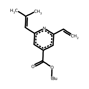 C=Cc1cc(C(=O)OC(C)(C)C)cc(C=C(C)C)n1